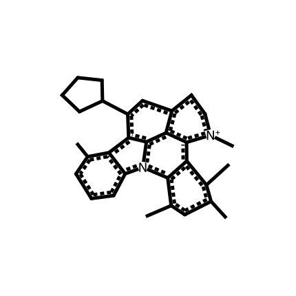 Cc1cc(C)c2c(c1C)c1c3c(cc[n+]1C)cc(C1CCCC1)c1c4c(C)cccc4n2c13